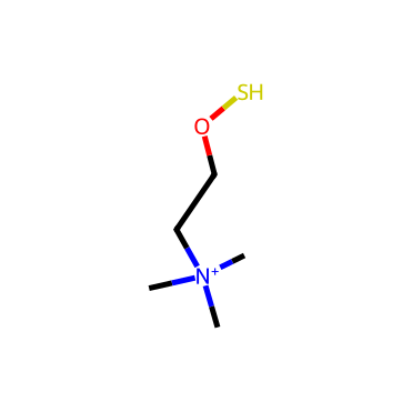 C[N+](C)(C)CCOS